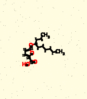 CCCCCCC(CCC)Oc1ccc(C(=O)O)o1